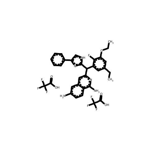 CCOc1cc(CC)cc(C(c2cc3cc(N)ccc3c(N)n2)c2nc(-c3ccccc3)c[nH]2)c1F.O=C(O)C(F)(F)F.O=C(O)C(F)(F)F